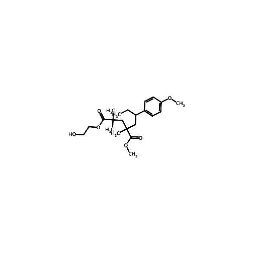 CCC(CC(C)(CC(C)(C)C(=O)OCCO)C(=O)OC)c1ccc(OC)cc1